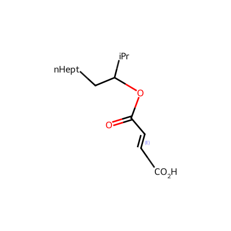 CCCCCCCCC(OC(=O)/C=C/C(=O)O)C(C)C